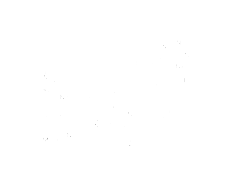 CON=C(C(=O)NC1C(=O)N2C(C(=O)O)=C(C=C(S)c3nnnn3C)CSC12)c1csc(N)n1